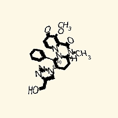 COc1c2n(ccc1=O)N1[C@H](c3ccccc3)[C@@H](n3cc(CO)nn3)CC[C@H]1N(C)C2=O